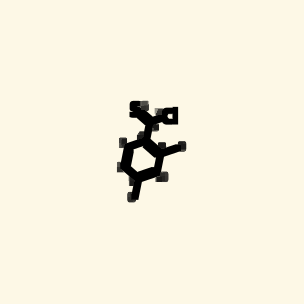 Cc1ccc(C(=S)Cl)c(C)c1